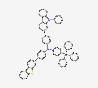 c1ccc(-n2c3ccccc3c3ccc(-c4ccc(N(c5ccc(-c6ccc7c(c6)sc6ccccc67)cc5)c5ccc([Si](c6ccccc6)(c6ccccc6)c6ccccc6)cc5)cc4)cc32)cc1